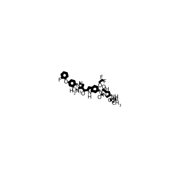 Cc1cc(Oc2ccccc2F)ccc1-n1ncc(C(=O)c2cc3cc(OCC(F)F)c(N4C(=O)[C@@H]5C[C@H](NS(C)(=O)=O)CN5C4=O)cc3[nH]2)c1N